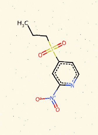 CCCS(=O)(=O)c1ccnc([N+](=O)[O-])c1